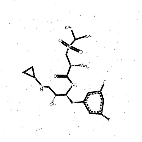 CCCC(CCC)S(=O)(=O)C[C@@H](N)C(=O)N[C@@H](Cc1cc(F)cc(F)c1)[C@H](O)CNC1CC1